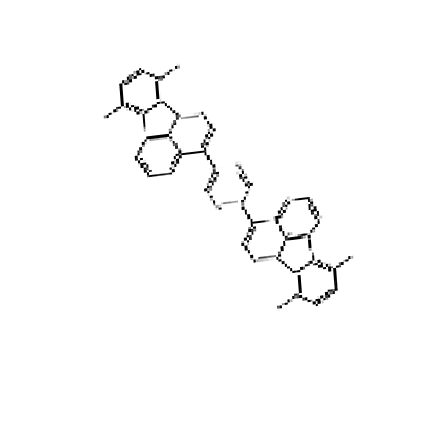 Cc1ccc(C)c2c1-c1cccc3c(-c4cnc(-c5ccc6c7c(cccc57)-c5c(C)ccc(C)c5-6)cn4)ccc-2c13